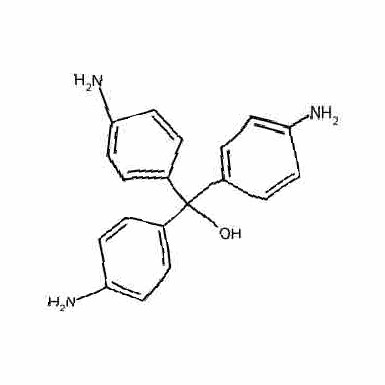 Nc1ccc(C(O)(c2ccc(N)cc2)c2ccc(N)cc2)cc1